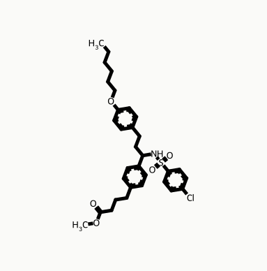 CCCCCCOc1ccc(CCC(NS(=O)(=O)c2ccc(Cl)cc2)c2ccc(CCCC(=O)OC)cc2)cc1